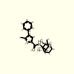 Cc1sc(C(=O)N[C@@H]2C3CCN(CC3)[C@H]2C)cc1-c1ccccc1